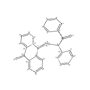 O=C(c1ccccc1)C(O)c1ccccc1.O=C1c2ccccc2C(=O)c2ccccc21